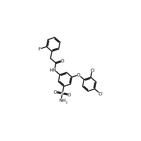 NS(=O)(=O)c1cc(NC(=O)Cc2ccccc2F)cc(Oc2ccc(Cl)cc2Cl)c1